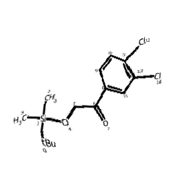 CC(C)(C)[Si](C)(C)OCC(=O)c1ccc(Cl)c(Cl)c1